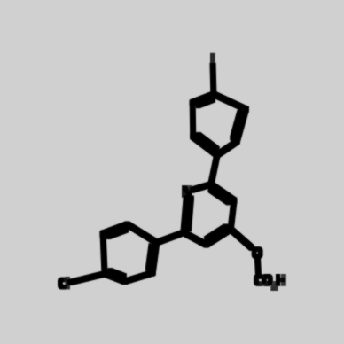 O=C(O)Oc1cc(-c2ccc(Cl)cc2)nc(-c2ccc(I)cc2)c1